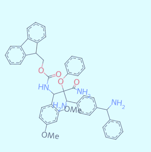 COc1ccc(C(NC(=O)OCC2c3ccccc3-c3ccccc32)C(Oc2ccccc2)(C(N)=O)C(N)c2ccc(C(N)c3ccccc3)cc2)c(OC)c1